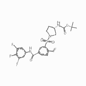 CC(C)(C)OC(=O)N[C@H]1CCN(S(=O)(=O)c2cc(C(=O)Nc3cc(F)c(F)c(F)c3)ccc2F)C1